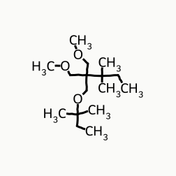 CCC(C)(C)OCC(COC)(COC)C(C)(C)CC